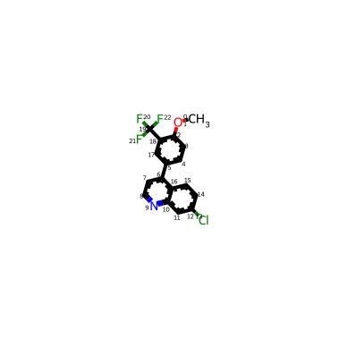 COc1ccc(-c2ccnc3cc(Cl)ccc23)cc1C(F)(F)F